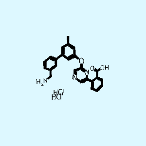 Cc1cc(Oc2cncc(-c3ccccc3C(=O)O)n2)cc(-c2cccc(CN)c2)c1.Cl.Cl